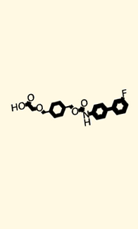 O=C(O)COC[C@H]1CC[C@@H](COC(=O)Nc2ccc(-c3cccc(F)c3)cc2)CC1